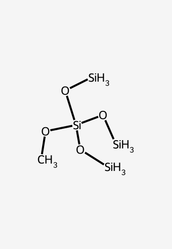 CO[Si](O[SiH3])(O[SiH3])O[SiH3]